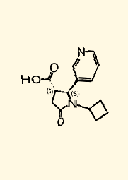 O=C(O)[C@H]1CC(=O)N(C2CCC2)[C@@H]1c1cccnc1